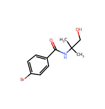 CC(C)(CO)NC(=O)c1ccc(Br)cc1